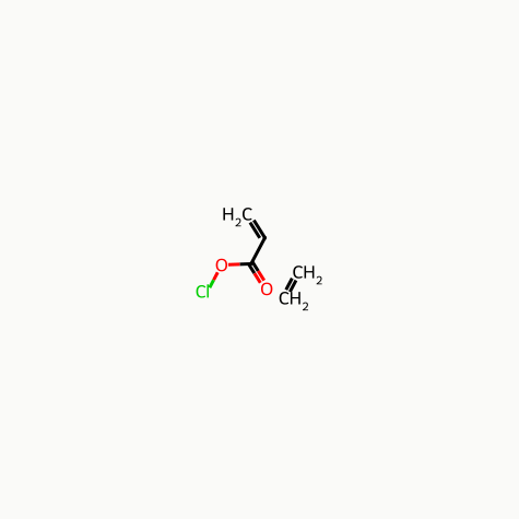 C=C.C=CC(=O)OCl